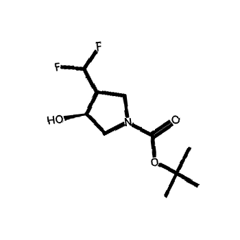 CC(C)(C)OC(=O)N1CC(C(F)F)[C@H](O)C1